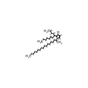 CCCCCCCCCCCCCCCCC(C)[n+]1cc[nH]c1C(CCCC)CCCCCCC